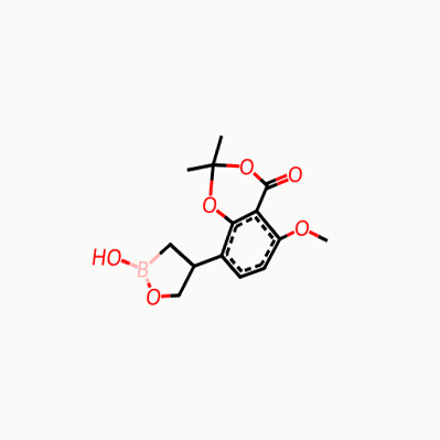 COc1ccc(C2COB(O)C2)c2c1C(=O)OC(C)(C)O2